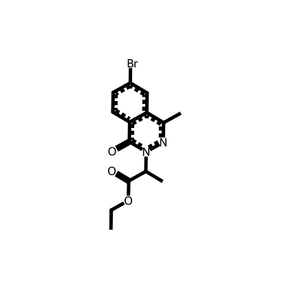 CCOC(=O)C(C)n1nc(C)c2cc(Br)ccc2c1=O